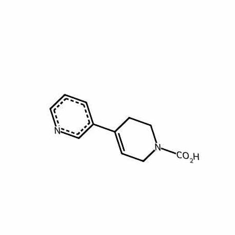 O=C(O)N1CC=C(c2cccnc2)CC1